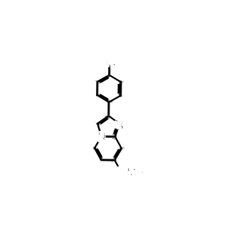 COc1ccn2cc(-c3ccc(C(F)(F)F)cc3)nc2c1